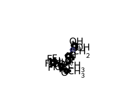 C=C1/C(=C\CC2CCC[C@]3(C)[C@@H]([C@H](C)CC[C@@H](OC(=O)Nc4c(F)c(F)c(F)c(F)c4F)C4(c5nc(C)co5)CC4)CC[C@@H]23)C[C@@H](O)C[C@@H]1O